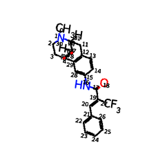 CN1CC[C@]23CCCC[C@H]2[C@H]1Cc1ccc(NC(=O)C(=Cc2ccccc2)C(F)(F)F)cc13